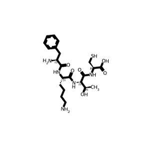 C[C@@H](O)[C@H](NC(=O)[C@H](CCCCN)NC(=O)[C@@H](N)Cc1ccccc1)C(=O)N[C@@H](CS)C(=O)O